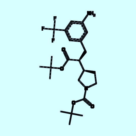 CC(C)(C)OC(=O)[C@@H](Cc1cc(N)cc(C(F)(F)F)c1)[C@H]1CCN(C(=O)OC(C)(C)C)C1